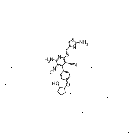 [C-]#[N+]c1c(N)nc(SCc2csc(N)n2)c(C#N)c1-c1ccc(O[C@H]2CCC[C@@H]2O)cc1